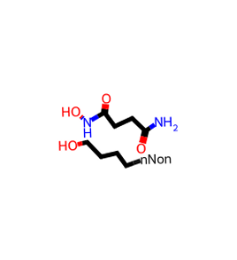 CCCCCCCCCCCCCO.NC(=O)CCC(=O)NO